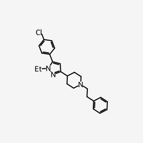 CCn1nc(C2CCN(CCc3ccccc3)CC2)cc1-c1ccc(Cl)cc1